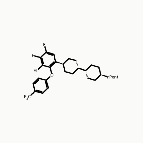 CCCCC[C@H]1CC[C@H]([C@H]2CC[C@H](c3[c]c(F)c(F)c(CC)c3Oc3ccc(C(F)(F)F)cc3)CC2)CC1